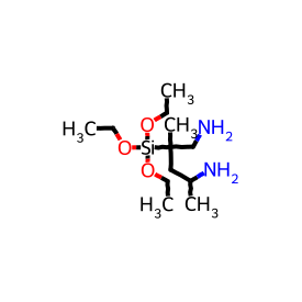 CCO[Si](OCC)(OCC)C(C)(CN)CC(C)N